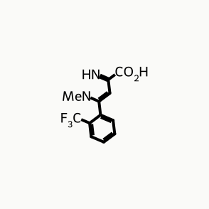 CN/C(=C\C(=N)C(=O)O)c1ccccc1C(F)(F)F